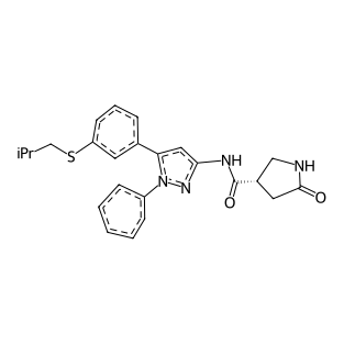 CC(C)CSc1cccc(-c2cc(NC(=O)[C@@H]3CNC(=O)C3)nn2-c2ccccc2)c1